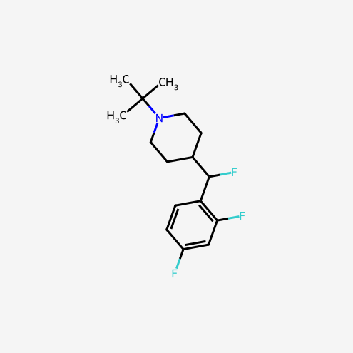 CC(C)(C)N1CCC(C(F)c2ccc(F)cc2F)CC1